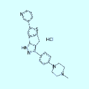 CN1CCN(c2ccc(-c3n[nH]c4c3Cc3sc(-c5cccnc5)cc3-4)cc2)CC1.Cl